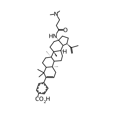 C=C(C)[C@@H]1CC[C@]2(NC(=O)CCN(C)C)CC[C@]3(C)[C@H](CCC4[C@@]5(C)CC=C(c6ccc(C(=O)O)cc6)C(C)(C)C5CC[C@]43C)C12